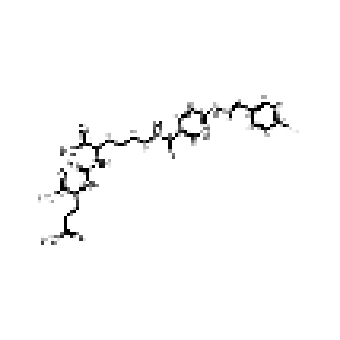 O=C(O)CCC(NC(=O)NC(CCCCNC(=O)c1ccc(NN=Cc2ccc(F)cc2)nc1)C(=O)O)C(=O)O